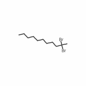 CCCCCCCCCC(C)(Br)Br